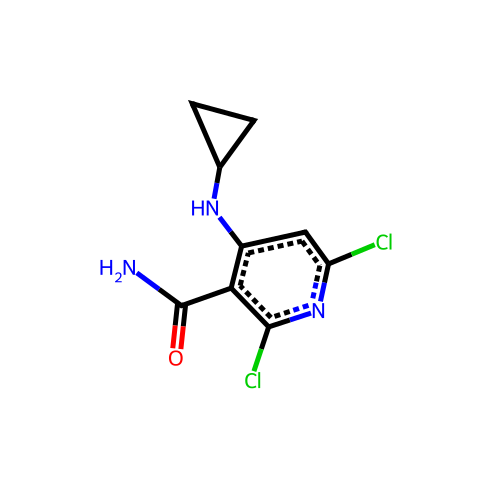 NC(=O)c1c(NC2CC2)cc(Cl)nc1Cl